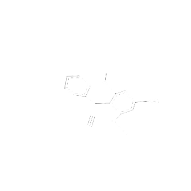 C#C[C@H](c1ccccc1)c1c(OC)cc(O)cc1OC